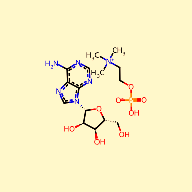 C[N+](C)(C)CCOP(=O)([O-])O.Nc1ncnc2c1ncn2[C@@H]1O[C@H](CO)[C@@H](O)[C@H]1O